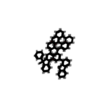 CC1(c2ccccc2)c2ccccc2-c2ccc(-c3ccccc3N(c3cccc(-c4cccc5c4oc4ccccc45)c3)c3ccccc3-c3cccc4cccc(C5CCCCC5)c34)cc21